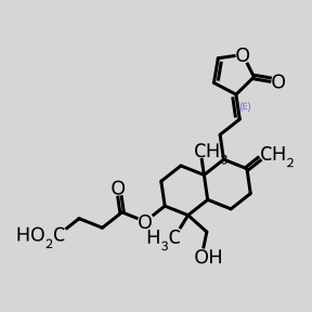 C=C1CCC2C(C)(CO)C(OC(=O)CCC(=O)O)CCC2(C)C1C/C=C1\C=COC1=O